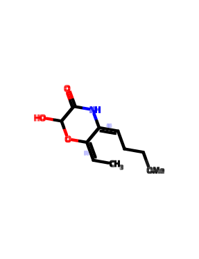 C/C=C1/OC(O)C(=O)N/C1=C/CCOC